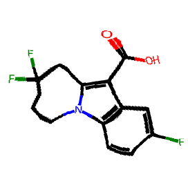 O=C(O)c1c2n(c3ccc(F)cc13)CCC(F)(F)C2